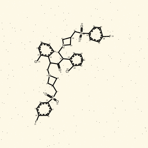 O=C(C(CN1CC(CS(=O)(=O)c2ccc(F)cc2)C1)c1ccccc1Cl)C(CN1CC(CS(=O)(=O)c2ccc(F)cc2)C1)c1ccccc1Cl